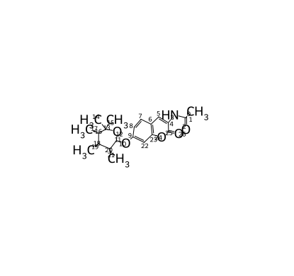 CC(=O)Nc1cc2ccc(OC3OC(C)(C)[C@H](C)[C@H](C)[C@@H]3C)cc2oc1=O